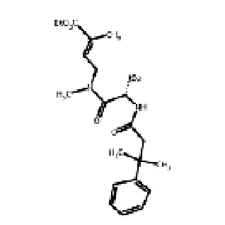 CCOC(=O)/C(C)=C/CN(C)C(=O)[C@@H](NC(=O)CC(C)(C)c1ccccc1)C(C)(C)C